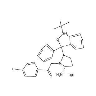 Br.CC(C)(C)[SiH2]OC(c1ccccc1)(c1ccccc1)C1CC[C@H](N)N1CC(=O)c1ccc(F)cc1